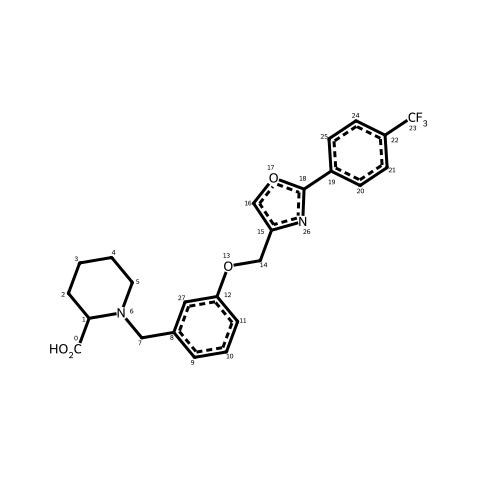 O=C(O)C1CCCCN1Cc1cccc(OCc2coc(-c3ccc(C(F)(F)F)cc3)n2)c1